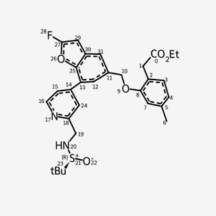 CCOC(=O)Cc1ccc(C)cc1OCc1cc(-c2ccnc(CN[S@@+]([O-])C(C)(C)C)c2)c2oc(F)cc2c1